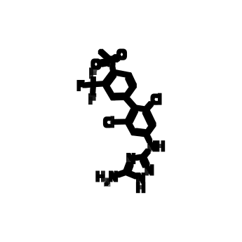 CS(=O)(=O)c1ccc(-c2c(Cl)cc(Nc3n[nH]c(N)n3)cc2Cl)cc1C(F)(F)F